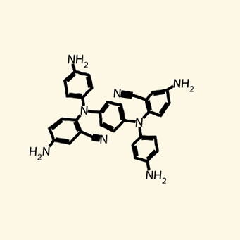 N#Cc1cc(N)ccc1N(c1ccc(N)cc1)c1ccc(N(c2ccc(N)cc2)c2ccc(N)cc2C#N)cc1